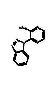 CCCCc1ccccc1-n1nnc2ccccc21